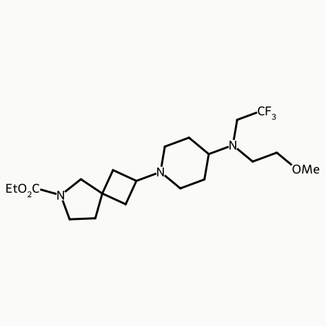 CCOC(=O)N1CCC2(CC(N3CCC(N(CCOC)CC(F)(F)F)CC3)C2)C1